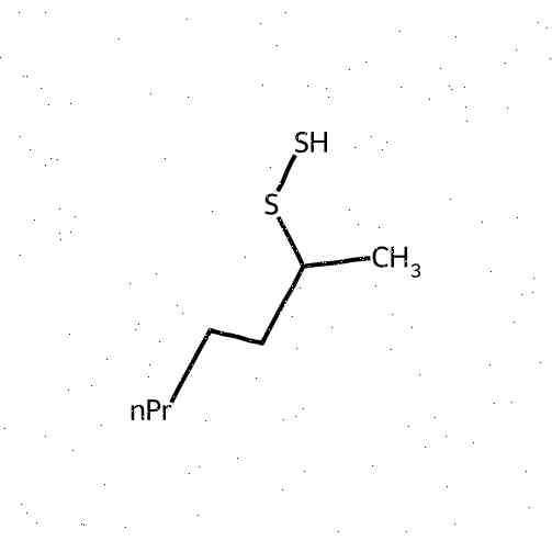 CCCCCC(C)SS